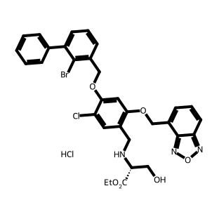 CCOC(=O)[C@@H](CO)NCc1cc(Cl)c(OCc2cccc(-c3ccccc3)c2Br)cc1OCc1cccc2nonc12.Cl